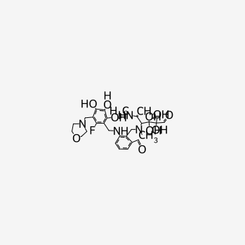 C=C(NC)C(N(C)Cc1c(C=O)cccc1NCc1c(O)c(O)c(O)c(CN2CCOCC2)c1F)C(O)(O)C(O)(O)C=O